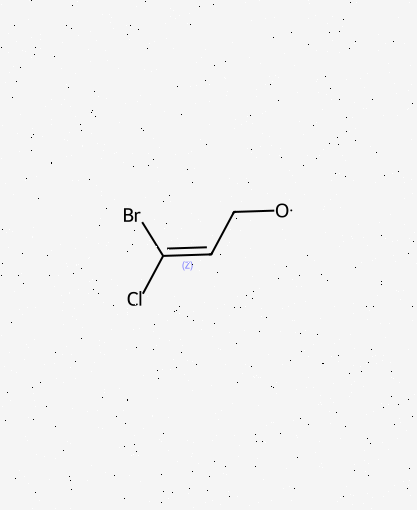 [O]C/C=C(/Cl)Br